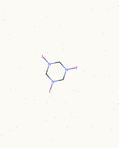 IN1CN(I)CN(I)C1